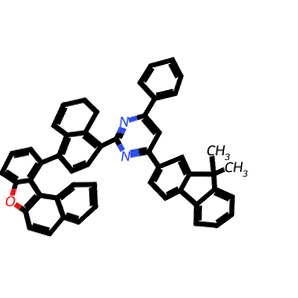 CC1(C)c2ccccc2-c2ccc(-c3cc(-c4ccccc4)nc(-c4ccc(-c5cccc6oc7ccc8ccccc8c7c56)c5c4CCC=C5)n3)cc21